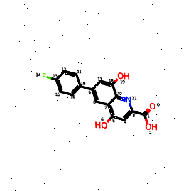 O=C(O)c1cc(O)c2cc(-c3ccc(F)cc3)cc(O)c2n1